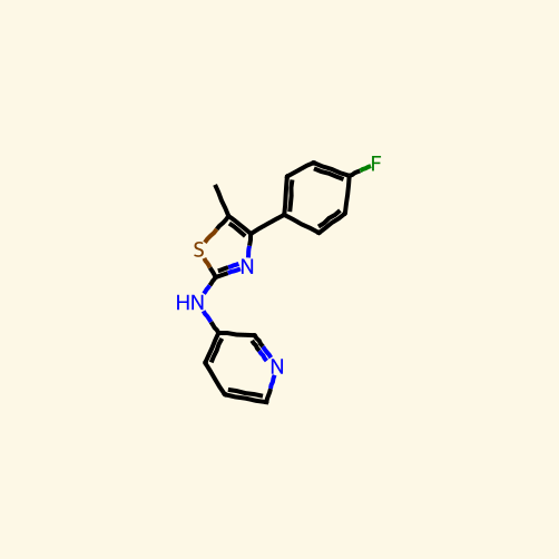 Cc1sc(Nc2cccnc2)nc1-c1ccc(F)cc1